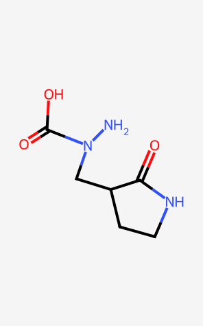 NN(CC1CCNC1=O)C(=O)O